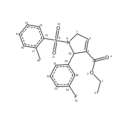 CCOC(=O)C1=CCN(S(=O)(=O)c2ccccc2C)C1c1cccc(F)c1